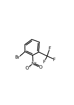 O=[N+]([O-])c1c(Br)cccc1C(F)(F)F